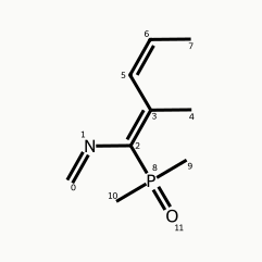 C=N/C(=C(C)\C=C/C)P(C)(C)=O